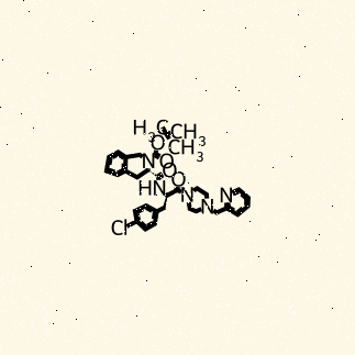 CC(C)(C)OC(=O)N1Cc2ccccc2C[C@H]1C(=O)N[C@H](Cc1ccc(Cl)cc1)C(=O)N1CCN(Cc2ccccn2)CC1